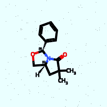 CC1(C)C[C@H]2CO[C@H](c3ccccc3)N2C1=O